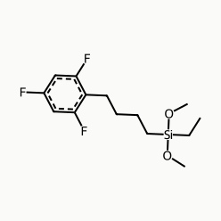 CC[Si](CCCCc1c(F)cc(F)cc1F)(OC)OC